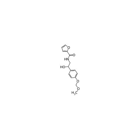 COCOc1ccc(C(O)CNC(=O)c2ccco2)cc1